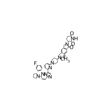 CN(Cc1cc2c(cc1F)C(=O)N(C1CCC(=O)NC1=O)C2)C1CCN(c2cccc(-c3cnc4ccc(N5CCC[C@@H]5c5cccc(F)c5)nn34)n2)CC1